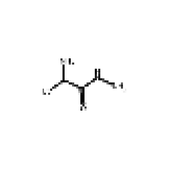 CCC(N)C(=O)NN